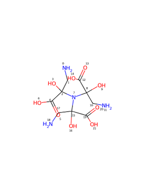 NCC(O)(C(=O)O)N(C(O)(CN)C(=O)O)C(O)(CN)C(=O)O